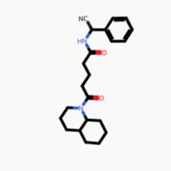 N#CC(NC(=O)CCCC(=O)N1CCCC2CCCCC21)c1ccccc1